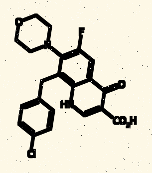 O=C(O)c1c[nH]c2c(Cc3ccc(Cl)cc3)c(N3CCOCC3)c(F)cc2c1=O